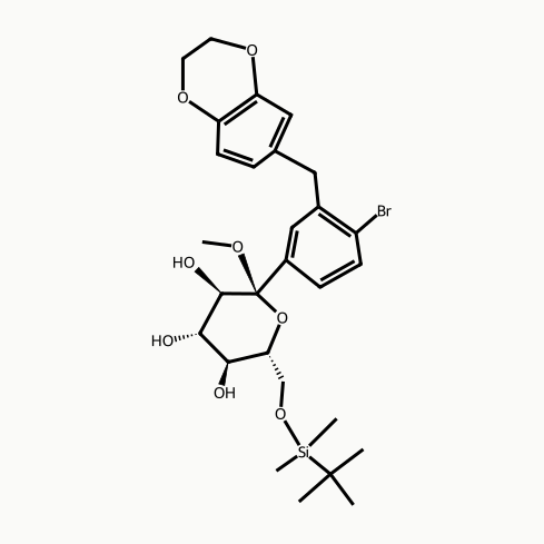 CO[C@@]1(c2ccc(Br)c(Cc3ccc4c(c3)OCCO4)c2)O[C@H](CO[Si](C)(C)C(C)(C)C)[C@@H](O)[C@H](O)[C@H]1O